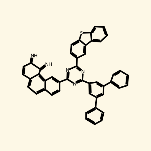 N=C1C=Cc2ccc3ccc(-c4nc(-c5cc(-c6ccccc6)cc(-c6ccccc6)c5)nc(-c5ccc6sc7ccccc7c6c5)n4)cc3c2C1=N